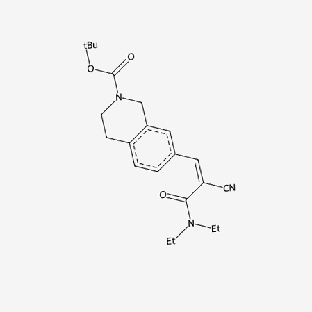 CCN(CC)C(=O)C(C#N)=Cc1ccc2c(c1)CN(C(=O)OC(C)(C)C)CC2